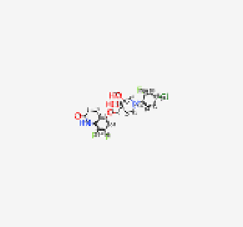 O=C1CCc2c(OC[C@]3(O)CCN(c4ccc(Cl)cc4F)C[C@H]3O)cc(F)c(F)c2N1